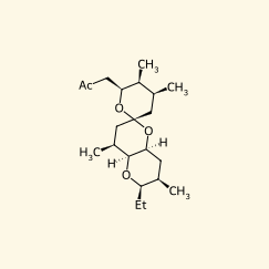 CC[C@H]1O[C@@H]2[C@H](C[C@H]1C)O[C@]1(C[C@H](C)[C@H](C)[C@H](CC(C)=O)O1)C[C@@H]2C